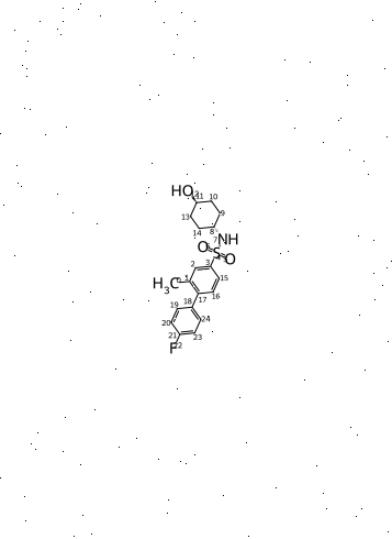 Cc1cc(S(=O)(=O)N[C@H]2CC[C@H](O)CC2)ccc1-c1ccc(F)cc1